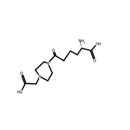 N[C@@H](CCCC(=O)N1CCN(CC(=O)O)CC1)C(=O)O